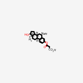 C[C@]12CC[C@@H]3c4ccc(OC(=O)CC(=O)O)cc4CC[C@H]3[C@@H]1CC[C@H]2O.[NaH]